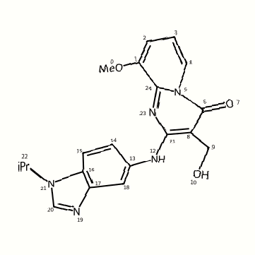 COc1cccn2c(=O)c(CO)c(Nc3ccc4c(c3)ncn4C(C)C)nc12